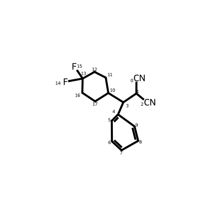 N#CC(C#N)C(c1ccccc1)C1CCC(F)(F)CC1